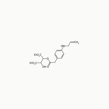 C=CCNc1ccc(CC(=O)OC(C(=O)OCC)C(O)C(=O)OCC)cc1